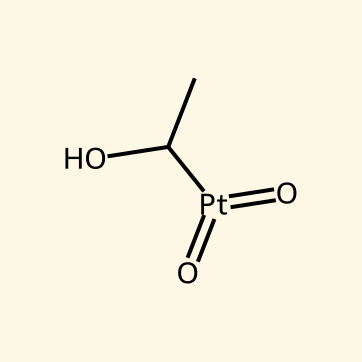 C[CH](O)[Pt](=[O])=[O]